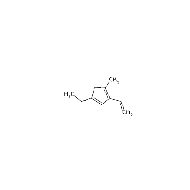 C=CC1=C(C)CC(CC)=C1